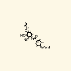 C=CCOc1ccc(OC(=O)[C@H]2CC[C@H](CCCCC)CC2)c(C#N)c1C#N